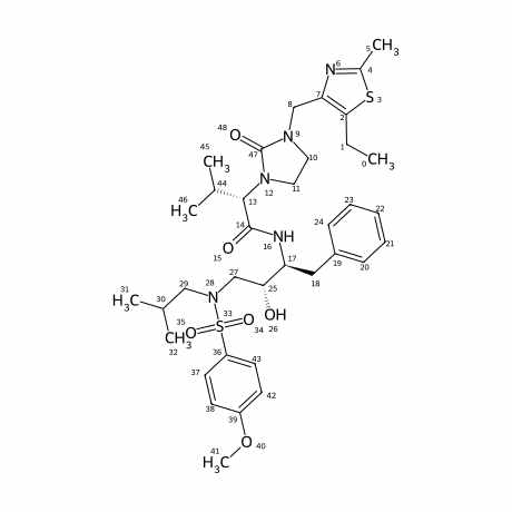 CCc1sc(C)nc1CN1CCN([C@H](C(=O)N[C@@H](Cc2ccccc2)[C@H](O)CN(CC(C)C)S(=O)(=O)c2ccc(OC)cc2)C(C)C)C1=O